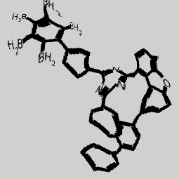 Bc1c(B)c(B)c(-c2ccc(-c3nc(-c4ccccc4)nc(-c4cccc5oc6ccc(-c7ccc(-c8ccccc8)cc7)cc6c45)n3)cc2)c(B)c1B